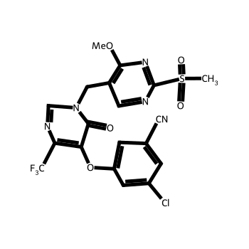 COc1nc(S(C)(=O)=O)ncc1Cn1cnc(C(F)(F)F)c(Oc2cc(Cl)cc(C#N)c2)c1=O